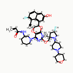 C#Cc1c(F)ccc2cc(O)cc(C3COc4c(nc(OC[C@]5(C)C[C@@H](F)CN5C5CCN(C6CCOCC6)CC5)nc4N4CCCCC(NC(=O)C=C)C4)O3)c12